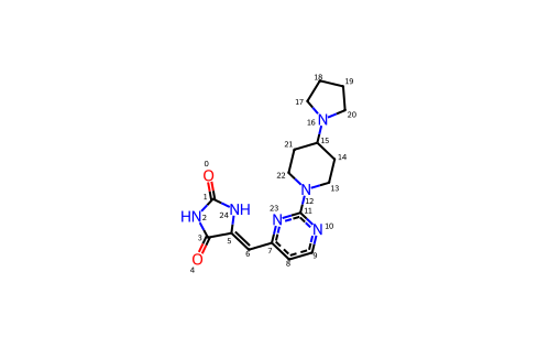 O=C1NC(=O)C(=Cc2ccnc(N3CCC(N4CCCC4)CC3)n2)N1